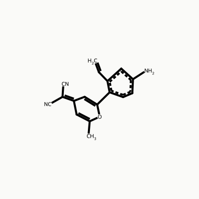 C=Cc1cc(N)ccc1C1=CC(=C(C#N)C#N)C=C(C)O1